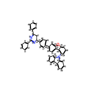 c1ccc(C2=NC(c3ccccc3)=NC(c3ccc(-c4ccc5c(c4)oc4cccc(-n6c7ccccc7c7ccccc76)c45)cc3)C2)cc1